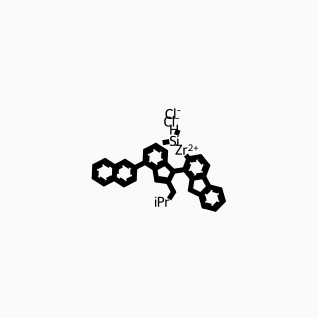 CC(C)CC1=Cc2c(-c3ccc4ccccc4c3)cccc2C1c1[c]([Zr+2][SiH](C)C)ccc2c1Cc1ccccc1-2.[Cl-].[Cl-]